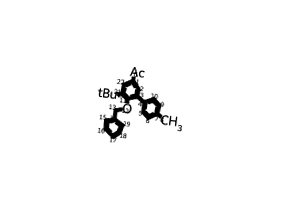 CC(=O)c1cc(-c2ccc(C)cc2)c(OCc2ccccc2)c(C(C)(C)C)c1